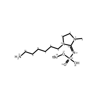 CN1CCN(CCCCCCN)C1=NP(=O)(O)OC(C)(C)C